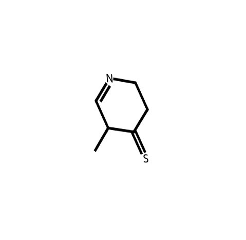 CC1C=NCCC1=S